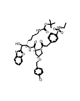 CCNS(=O)(=O)c1ccc(CC(=O)N2C[C@H](OCc3ccc(Cl)cc3)C[C@H]2C(=O)N[C@@H](CCCCNC(=O)OC(C)(C)C)C(O)c2nc3ccccc3o2)cc1